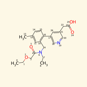 CCOCC(=O)N(CC)Cc1cc(C)ccc1-c1cncc(CC(=O)O)c1